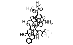 CON(C(N)=O)c1ccc([C@]2(C(N)=O)CCCN2C(=O)[C@@H](NC(=O)[C@H](CC(=O)O)NC(=O)[C@H](CC(C)C)NC(=O)Cc2ccccc2)C(C)C)cc1